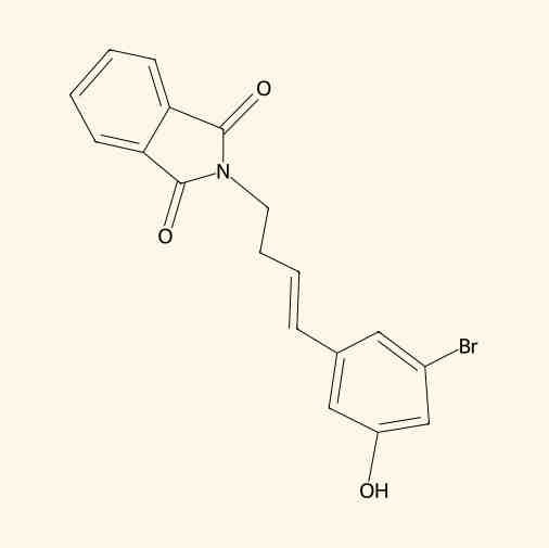 O=C1c2ccccc2C(=O)N1CCC=Cc1cc(O)cc(Br)c1